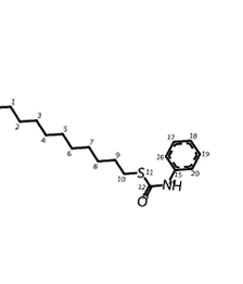 CCCCCCCCCCCSC(=O)Nc1ccccc1